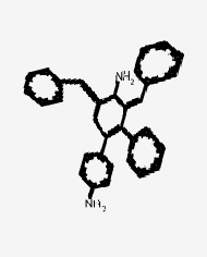 Nc1ccc(C2=C(c3ccccc3)C(=Cc3ccccc3)C(N)C(=Cc3ccccc3)C2)cc1